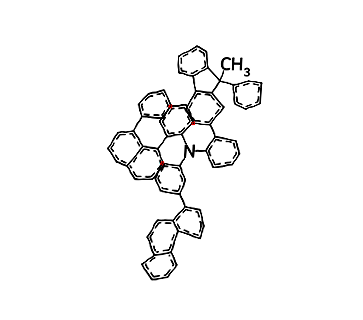 CC1(c2ccccc2)c2ccccc2-c2ccc(-c3ccccc3N(c3cccc(-c4cccc5c4ccc4ccccc45)c3)c3ccccc3-c3cccc4cccc(-c5ccccc5)c34)cc21